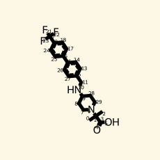 CC(C)(C(=O)O)N1CCC(NCc2ccc(-c3ccc(C(F)(F)F)cc3)cc2)CC1